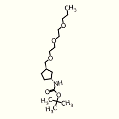 CCCOCCOCCOC[C@@H]1CC[C@@H](NC(=O)OC(C)(C)C)C1